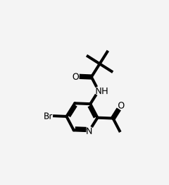 CC(=O)c1ncc(Br)cc1NC(=O)C(C)(C)C